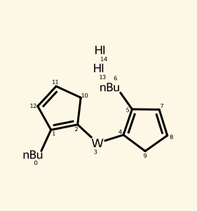 CCCCC1=[C]([W][C]2=C(CCCC)C=CC2)CC=C1.I.I